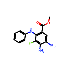 COC(=O)c1cc(N)c(N)c(F)c1Nc1ccccc1